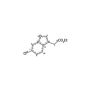 CCOC(=O)Cc1coc2cc(Cl)ccc12